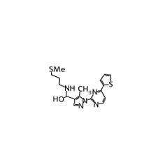 CSCCCNC(O)c1cnn(-c2nccc(-c3cccs3)n2)c1C